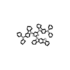 c1ccc(N(c2ccccc2)c2ccc3c(c2)c2ccccc2n3-c2cc(-n3c4ccccc4c4cc(N(c5ccccc5)c5ccccc5)ccc43)nc(-n3c4ccccc4c4cc5c(cc43)oc3ccccc35)n2)cc1